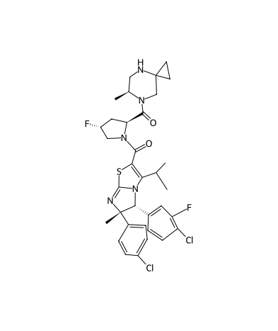 CC(C)C1=C(C(=O)N2C[C@H](F)C[C@H]2C(=O)N2CC3(CC3)NC[C@@H]2C)SC2=N[C@@](C)(c3ccc(Cl)cc3)[C@@H](c3ccc(Cl)c(F)c3)N21